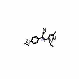 CCn1nc(C)cc1/[C]=C(\C#N)c1ccc([Si](C)(C)C)cc1